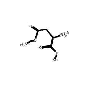 NOC(=O)CC(C(=O)ON)S(=O)(=O)O